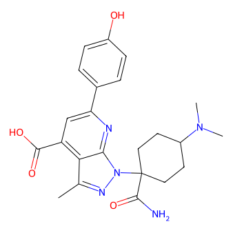 Cc1nn(C2(C(N)=O)CCC(N(C)C)CC2)c2nc(-c3ccc(O)cc3)cc(C(=O)O)c12